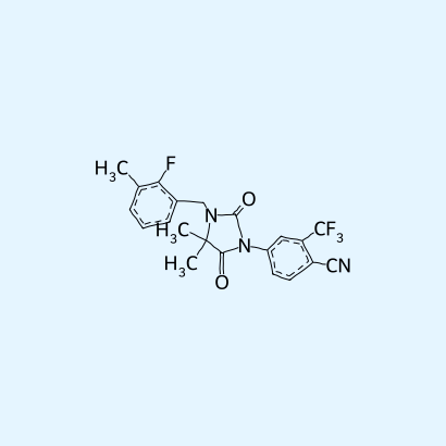 Cc1cccc(CN2C(=O)N(c3ccc(C#N)c(C(F)(F)F)c3)C(=O)C2(C)C)c1F